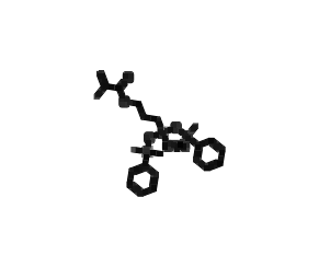 C=C(C)C(=O)OCCC[Si](OC)(O[Si](C)(C)c1ccccc1)O[Si](C)(C)c1ccccc1